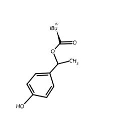 CC[C@H](C)C(=O)OC(C)c1ccc(O)cc1